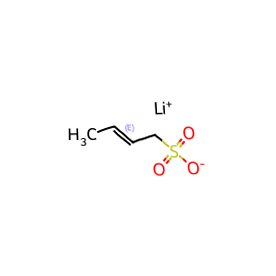 C/C=C/CS(=O)(=O)[O-].[Li+]